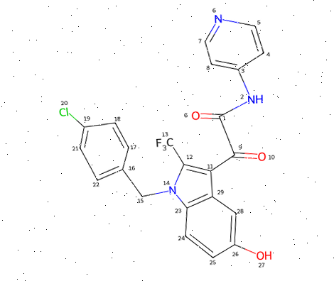 O=C(Nc1ccncc1)C(=O)c1c(C(F)(F)F)n(Cc2ccc(Cl)cc2)c2ccc(O)cc12